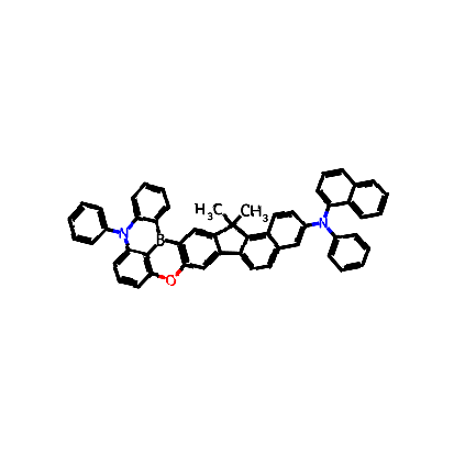 CC1(C)c2cc3c(cc2-c2ccc4cc(N(c5ccccc5)c5cccc6ccccc56)ccc4c21)Oc1cccc2c1B3c1ccccc1N2c1ccccc1